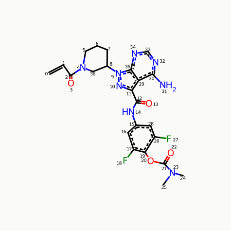 C=CC(=O)N1CCCC(n2nc(C(=O)Nc3cc(F)c(OC(=O)N(C)C)c(F)c3)c3c(N)ncnc32)C1